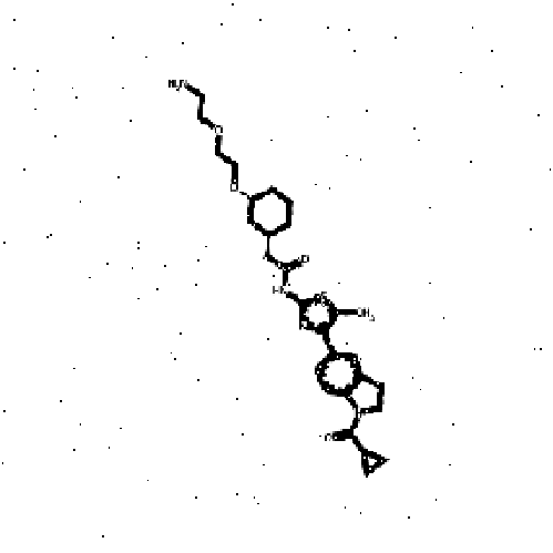 Cc1sc(NC(=O)C[C@@H]2CCC[C@@H](OCCOCCN)C2)nc1-c1ccc2c(c1)CCN2C(=O)C1CC1